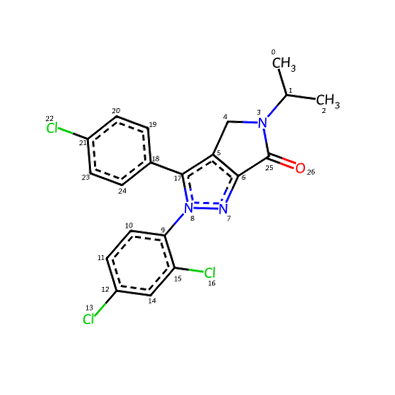 CC(C)N1Cc2c(nn(-c3ccc(Cl)cc3Cl)c2-c2ccc(Cl)cc2)C1=O